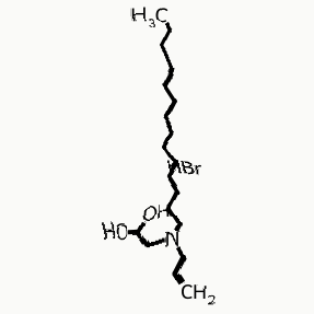 Br.C=CCN(CCCCCCCCCCCCCC)CC(O)O